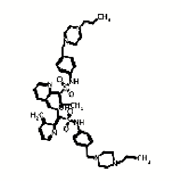 C=c1cccn/c1=C(/C/C=c1/cccn/c1=C(/C(C)O)S(=O)(=O)Nc1ccc(CN2CCN(CCC)CC2)cc1)S(=O)(=O)Nc1ccc(CN2CCN(CCC)CC2)cc1